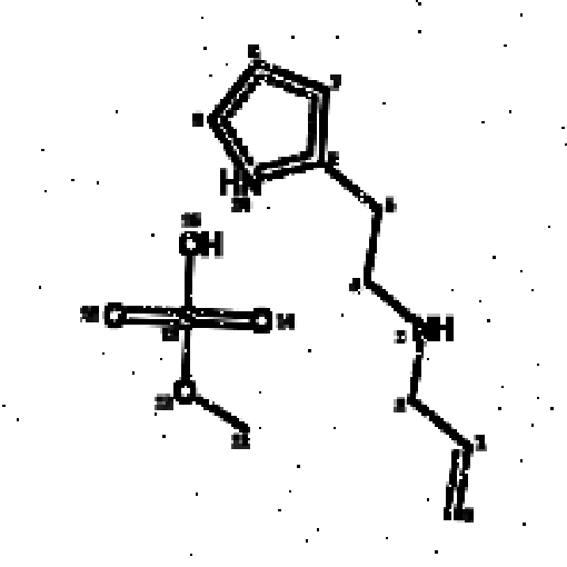 C=CCNCCc1ccc[nH]1.COS(=O)(=O)O